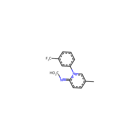 Cc1ccc(=NC(=O)O)n(-c2cccc(C(F)(F)F)c2)c1